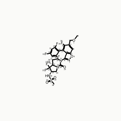 COCc1cc2onc(N3CC[C@H]4N(C[C@@H](NS(C)(=O)=O)C4(F)F)C3=O)c2c(-c2c(F)cc(F)cc2F)c1F